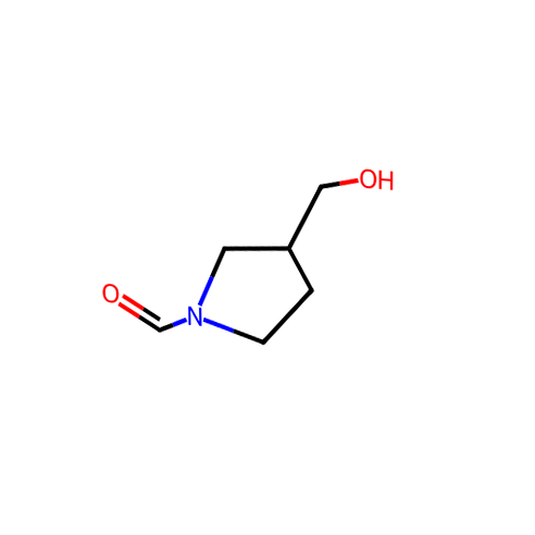 O=CN1CCC(CO)C1